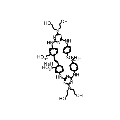 O=S(=O)(O)c1ccc(Nc2nc(Nc3ccc(/C=C/c4ccc(Nc5nc(Nc6ccc(S(=O)(=O)O)cc6)nc(N(CCO)CCO)n5)cc4S(=O)(=O)O)c(S(=O)(=O)O)c3)nc(N(CCO)CCO)n2)cc1.[NaH]